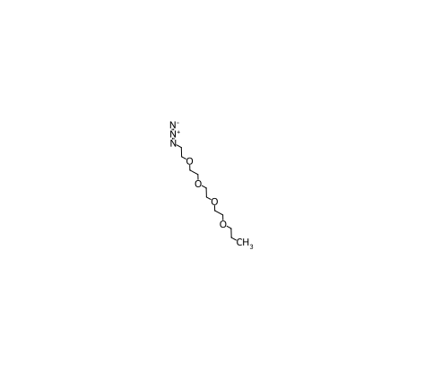 CCCOCCOCCOCCOCCN=[N+]=[N-]